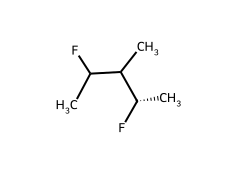 CC(F)C(C)[C@H](C)F